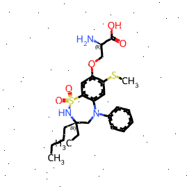 CCCC[C@]1(CC)CN(c2ccccc2)c2cc(SC)c(OC[C@@H](N)C(=O)O)cc2S(=O)(=O)N1